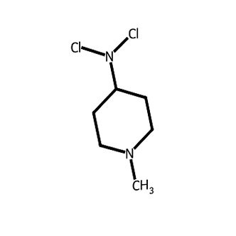 CN1CCC(N(Cl)Cl)CC1